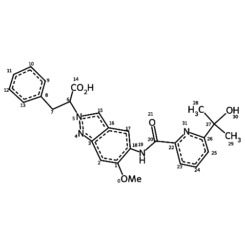 COc1cc2nn(C(Cc3ccccc3)C(=O)O)cc2cc1NC(=O)c1cccc(C(C)(C)O)n1